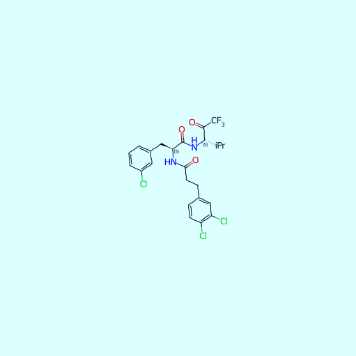 CC(C)[C@H](NC(=O)[C@H](Cc1cccc(Cl)c1)NC(=O)CCc1ccc(Cl)c(Cl)c1)C(=O)C(F)(F)F